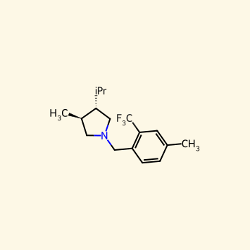 Cc1ccc(CN2C[C@@H](C)[C@H](C(C)C)C2)c(C(F)(F)F)c1